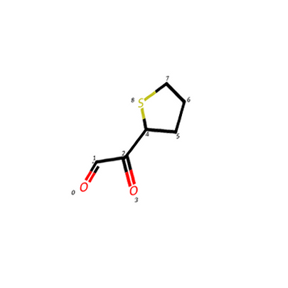 O=[C]C(=O)C1CCCS1